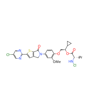 COc1cc(N2Cc3cc(-c4ncc(Cl)cn4)sc3C2=O)ccc1OC[C@H](OC(=O)[C@@H](NCl)C(C)C)C1CC1